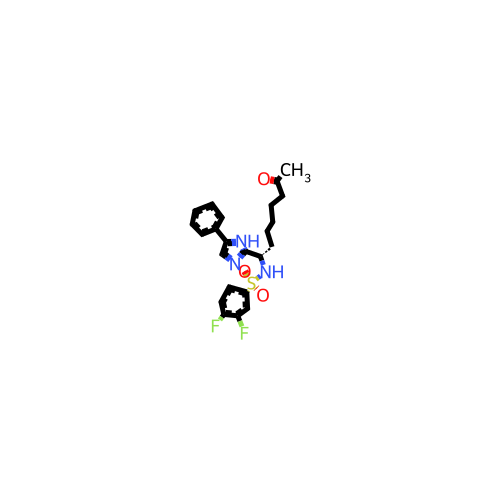 CC(=O)CCCCC[C@H](NS(=O)(=O)c1ccc(F)c(F)c1)c1ncc(-c2ccccc2)[nH]1